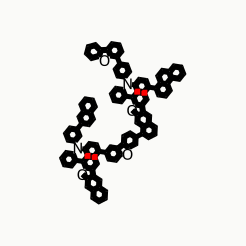 c1cc(-c2ccc3ccccc3c2)cc(N(c2ccc(-c3ccc4oc5cc(-c6cccc7cc8c(cc67)oc6c(-c7ccccc7N(c7ccc(-c9cccc%10c9ccc9ccccc9%10)cc7)c7ccc(-c9cccc%10c9oc9ccccc9%10)cc7)cccc68)ccc5c4c3)cc2)c2ccccc2-c2cccc3c2oc2cc4ccccc4cc23)c1